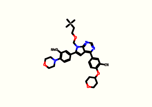 COc1cc(-c2cc3c(-c4ccc(OC5CCOCC5)c(C#N)c4)ncnc3n2COCC[Si](C)(C)C)ccc1N1CCOCC1